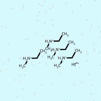 CC[NH2+]C.CC[NH2+]C.CC[NH2+]C.CC[NH2+]C.[Hf+4]